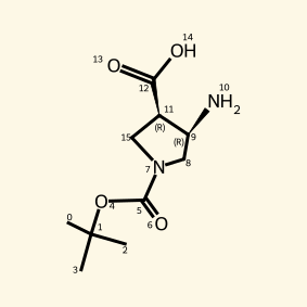 CC(C)(C)OC(=O)N1C[C@H](N)[C@H](C(=O)O)C1